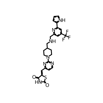 O=C1NC(=O)/C(=C/c2ccnc(N3CCC(CNCc4cc(C(F)(F)F)cc(-c5ccc[nH]5)n4)CC3)n2)S1